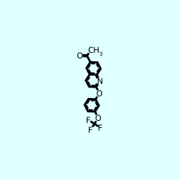 CC(=O)c1ccc2nc(Oc3cccc(OC(F)(F)F)c3)ccc2c1